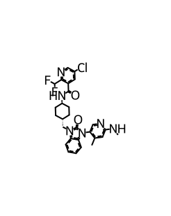 CNc1cc(C)c(-n2c(=O)n(C[C@H]3CC[C@H](NC(=O)c4cc(Cl)cnc4C(F)F)CC3)c3ccccc32)cn1